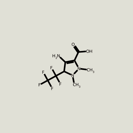 CN1C(C(=O)O)=C(N)C(C(F)(F)C(F)(F)F)N1C